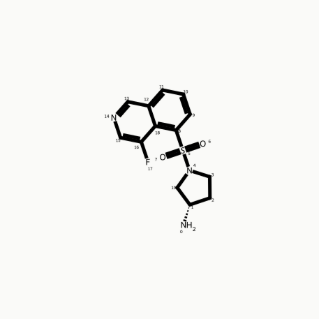 N[C@H]1CCN(S(=O)(=O)c2cccc3cncc(F)c23)C1